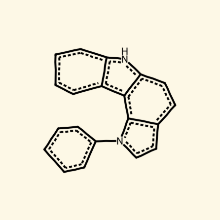 c1ccc(-n2ccc3ccc4[nH]c5ccccc5c4c32)cc1